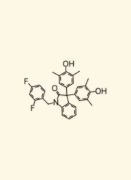 Cc1cc(C2(c3cc(C)c(O)c(C)c3)C(=O)N(Cc3ccc(F)cc3F)c3ccccc32)cc(C)c1O